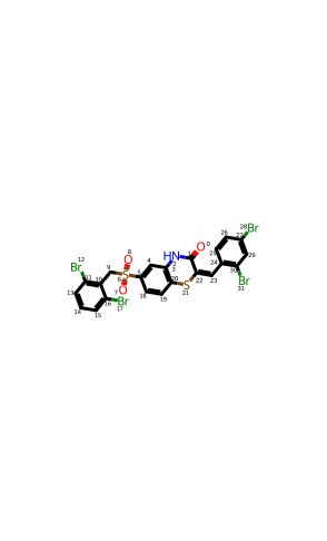 O=C1Nc2cc(S(=O)(=O)Cc3c(Br)cccc3Br)ccc2S/C1=C/c1ccc(Br)cc1Br